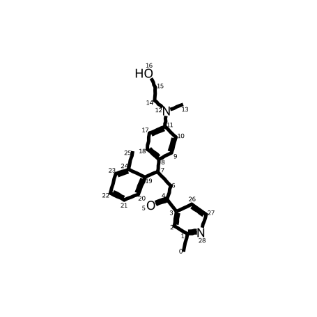 Cc1cc(C(=O)CC(c2ccc(N(C)CCO)cc2)c2ccccc2C)ccn1